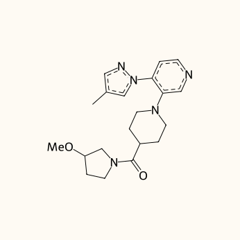 COC1CCN(C(=O)C2CCN(c3cnccc3-n3cc(C)cn3)CC2)C1